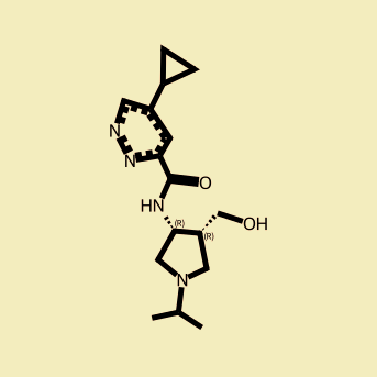 CC(C)N1C[C@@H](CO)[C@@H](NC(=O)c2cc(C3CC3)cnn2)C1